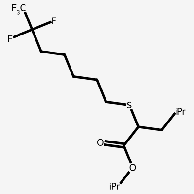 CC(C)CC(SCCCCCC(F)(F)C(F)(F)F)C(=O)OC(C)C